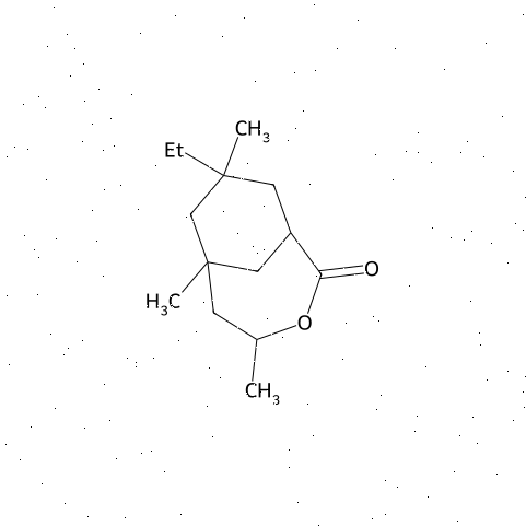 CCC1(C)CC2CC(C)(CC(C)OC2=O)C1